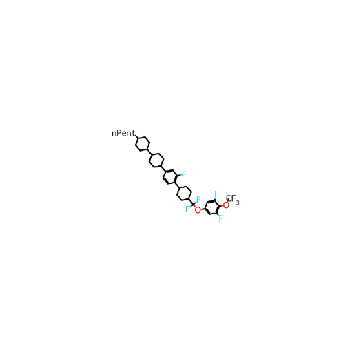 CCCCCC1CCC(C2CCC(c3ccc(C4CCC(C(F)(F)Oc5cc(F)c(OC(F)(F)F)c(F)c5)CC4)c(F)c3)CC2)CC1